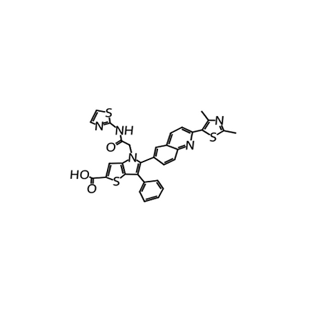 Cc1nc(C)c(-c2ccc3cc(-c4c(-c5ccccc5)c5sc(C(=O)O)cc5n4CC(=O)Nc4nccs4)ccc3n2)s1